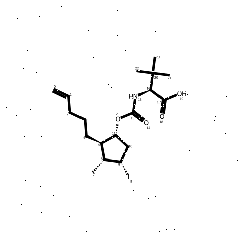 C=CCCC[C@@H]1[C@@H](C)[C@@H](I)C[C@H]1OC(=O)N[C@H](C(=O)O)C(C)(C)C